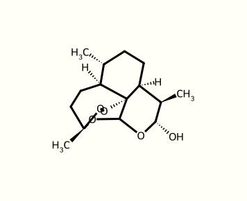 C[C@H]1[C@H](O)OC2O[C@@]3(C)CC[C@H]4[C@H](C)CC[C@@H]1[C@@]24OO3